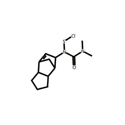 CN(C)C(=O)N(SCl)C1C=C2CC1C1CCCC21